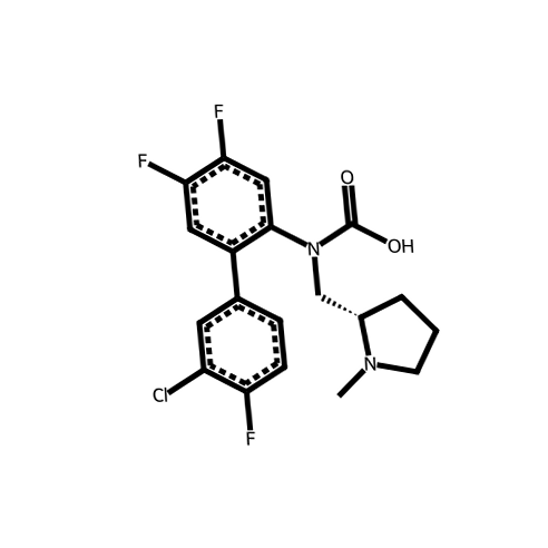 CN1CCC[C@H]1CN(C(=O)O)c1cc(F)c(F)cc1-c1ccc(F)c(Cl)c1